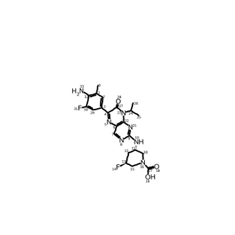 Cc1cc(-c2nc3cnc(N[C@H]4C[C@H](F)CN(C(=O)O)C4)nc3n(C(C)C)c2=O)cc(F)c1N